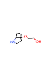 OCCOC12CCNC1CC2